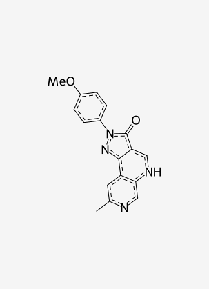 COc1ccc(-n2nc3c4cc(C)ncc4[nH]cc-3c2=O)cc1